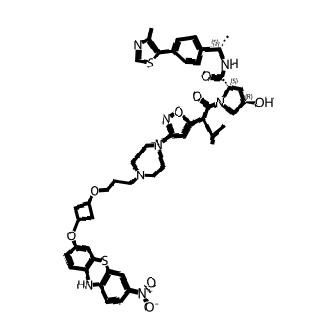 Cc1ncsc1-c1ccc([C@H](C)NC(=O)[C@@H]2C[C@@H](O)CN2C(=O)C(c2cc(N3CCN(CCCOC4CC(Oc5ccc6c(c5)Sc5cc([N+](=O)[O-])ccc5N6)C4)CC3)no2)C(C)C)cc1